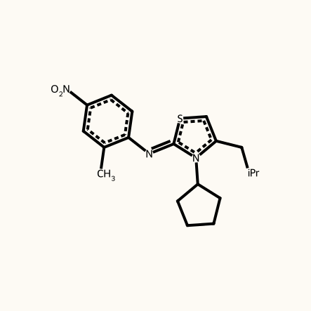 Cc1cc([N+](=O)[O-])ccc1N=c1scc(CC(C)C)n1C1CCCC1